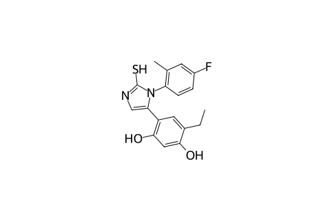 CCc1cc(-c2cnc(S)n2-c2ccc(F)cc2C)c(O)cc1O